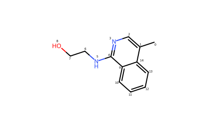 Cc1cnc(NCCO)c2ccccc12